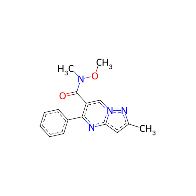 CON(C)C(=O)c1cn2nc(C)cc2nc1-c1ccccc1